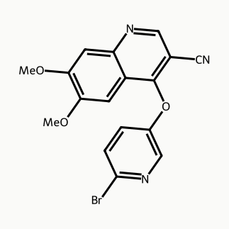 COc1cc2ncc(C#N)c(Oc3ccc(Br)nc3)c2cc1OC